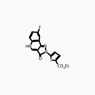 CCOC(=O)c1ccc(-n2nc3c4cc(F)ccc4[nH]cc-3c2=O)s1